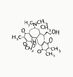 COC1=C(C)C(=O)C2=C(C1=O)[C@@H]1CC3=C(C(=O)C(C)=C(C)C3=O)[C@H](CCO)C1[C@@H](C)C(N(C)C)C2